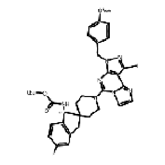 COc1ccc(Cn2nc(I)c3c2nc(N2CCC4(CC2)Cc2cc(F)ccc2[C@H]4NC(=O)OC(C)(C)C)n2ccnc32)cc1